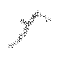 C=CC(=O)OCCCCCCOC(=C)/C=C\C(=C)OC(=O)[C@H]1CC[C@H](C(=O)Oc2ccc(OC(=O)[C@H]3CC[C@H](C(=O)OC4C=CC(OCCCCCCOC(=O)C=C)=CC4)CC3)c3nc(-c4cccs4)sc23)CC1